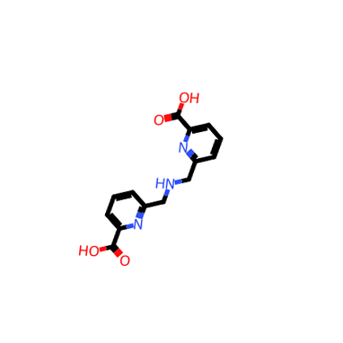 O=C(O)c1cccc(CNCc2cccc(C(=O)O)n2)n1